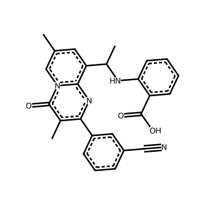 Cc1cc(C(C)Nc2ccccc2C(=O)O)c2nc(-c3cccc(C#N)c3)c(C)c(=O)n2c1